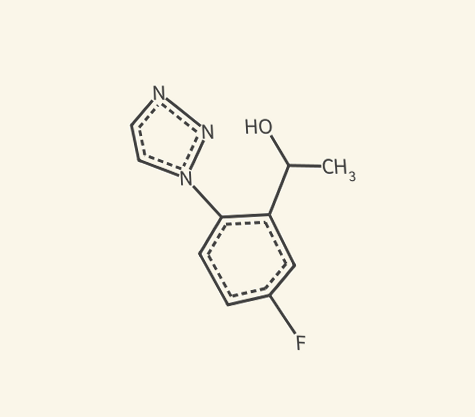 CC(O)c1cc(F)ccc1-n1ccnn1